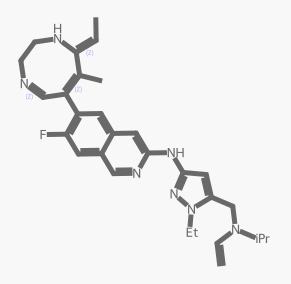 C=CN(Cc1cc(Nc2cc3cc(C4=C(C)/C(=C/C)NCC/N=C\4)c(F)cc3cn2)nn1CC)C(C)C